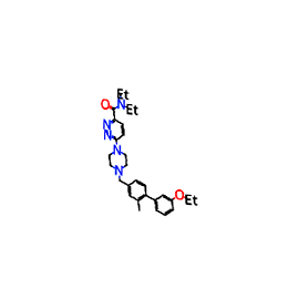 CCOc1cccc(-c2ccc(CN3CCN(c4ccc(C(=O)N(CC)CC)nn4)CC3)cc2C)c1